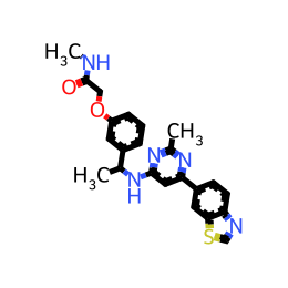 CNC(=O)COc1cccc(C(C)Nc2cc(-c3ccc4ncsc4c3)nc(C)n2)c1